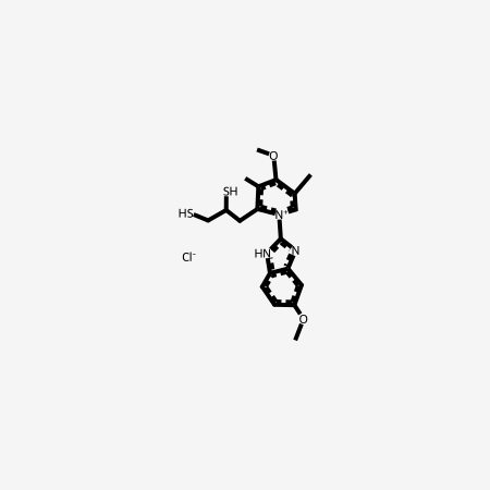 COc1ccc2[nH]c(-[n+]3cc(C)c(OC)c(C)c3CC(S)CS)nc2c1.[Cl-]